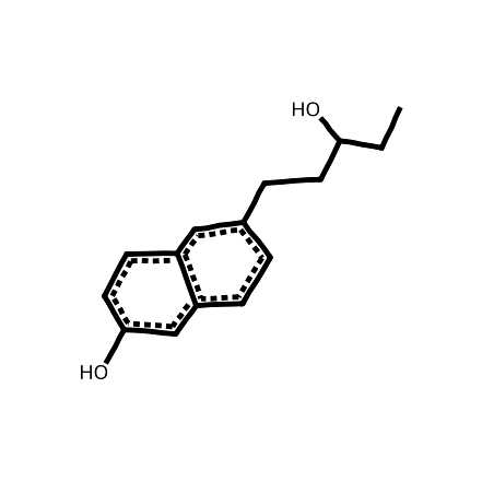 CCC(O)CCc1ccc2cc(O)ccc2c1